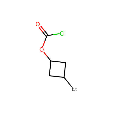 CCC1CC(OC(=O)Cl)C1